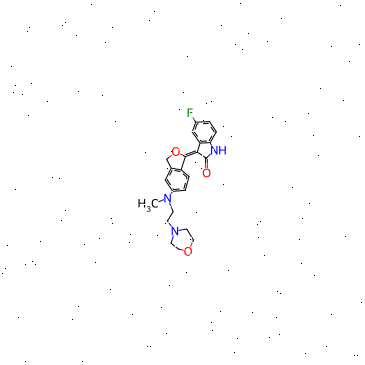 CN(CCN1CCOCC1)c1ccc2c(c1)CO/C2=C1/C(=O)Nc2ccc(F)cc21